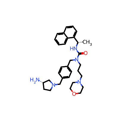 C[C@H](NC(=O)N(CCCN1CCOCC1)Cc1ccc(CN2CC[C@H](N)C2)cc1)c1cccc2ccccc12